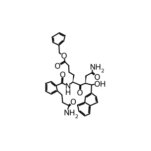 NC(=O)CCc1ccccc1C(=O)N[C@@H](CCCC(=O)OCc1ccccc1)C(=O)[C@@H](CC(N)=O)C(O)c1ccc2ccccc2c1